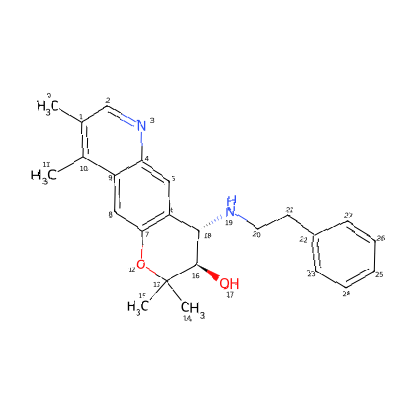 Cc1cnc2cc3c(cc2c1C)OC(C)(C)[C@H](O)[C@H]3NCCc1ccccc1